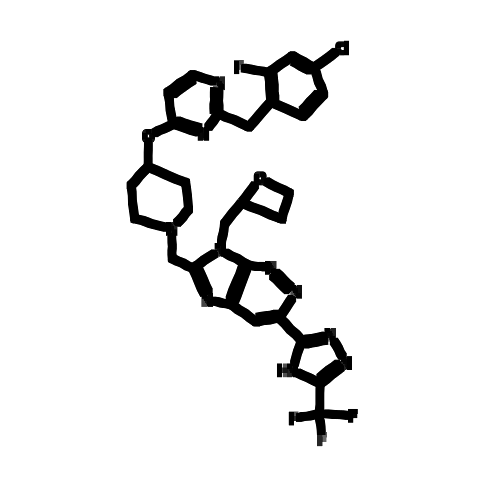 Fc1cc(Cl)ccc1Cc1nccc(OC2CCN(Cc3nc4cc(-c5nnc(C(F)(F)F)[nH]5)nnc4n3CC3CCO3)CC2)n1